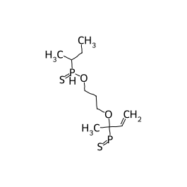 C=CC(C)(OCCCO[PH](=S)C(C)CC)P=S